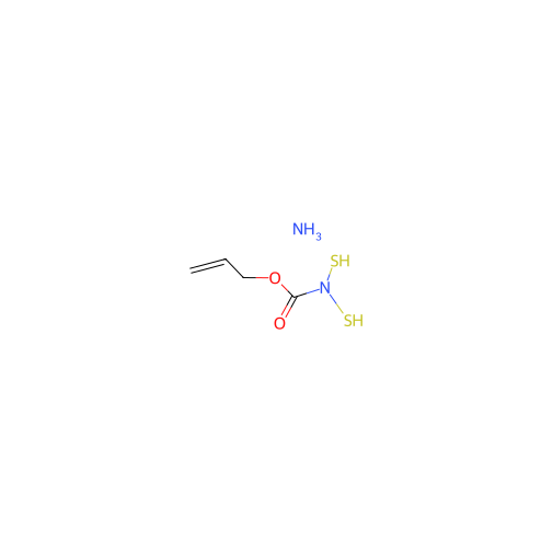 C=CCOC(=O)N(S)S.N